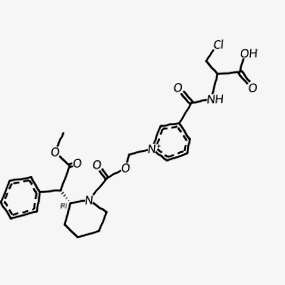 COC(=O)C(c1ccccc1)[C@H]1CCCCN1C(=O)OC[n+]1cccc(C(=O)NC(CCl)C(=O)O)c1